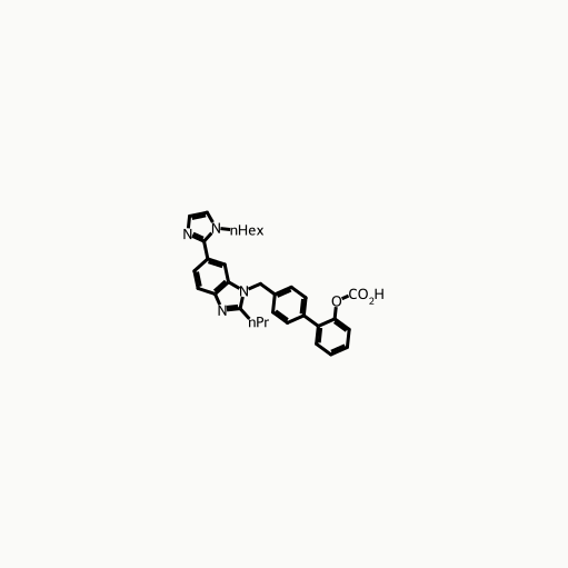 CCCCCCn1ccnc1-c1ccc2nc(CCC)n(Cc3ccc(-c4ccccc4OC(=O)O)cc3)c2c1